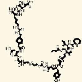 CCCC(=O)OCN(C(=O)[C@@H](NC(=O)[C@H]1CCCCCN1C)C(C)CC)[C@H](CCc1nc(C(=O)N[C@@H](Cc2ccc(O)cc2)C[C@H](C)C(=O)NNC(=O)OCCSSCCNC(=O)[C@H](C)NC(=O)[C@H](CC(=O)O)NC(=O)Cc2ccc(CNC(=O)NCCCC[C@H](NC(=O)N[C@@H](CCC(=O)O)C(=O)O)C(=O)O)cc2)cs1)C(C)C